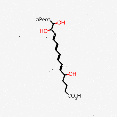 CCCCCC(O)C(O)/C=C/C=C/C=C/C=C/C(O)CCCC(=O)O